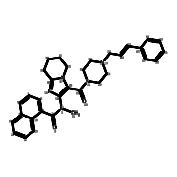 CN(C(=O)c1cccc2ccccc12)c1nc2n(c1C(=O)N1CCN(CC=Cc3ccccc3)CC1)CCCC2